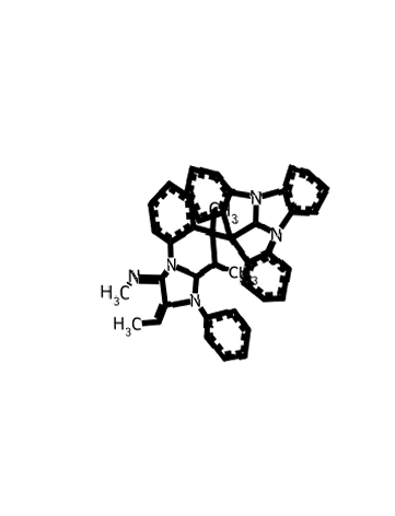 C/C=C1\C(=N/C)N2c3ccccc3C(C)(C34c5ccccc5N5c6ccccc6N(c6ccccc63)C54)C(C)C2N1c1ccccc1